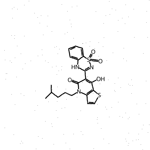 CC(C)CCCn1c(=O)c(C2=NS(=O)(=O)c3ccccc3N2)c(O)c2sccc21